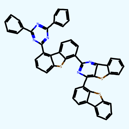 c1ccc(-c2nc(-c3ccccc3)nc(-c3cccc4sc5c(-c6nc(-c7cccc8c7sc7ccccc78)c7sc8ccccc8c7n6)cccc5c34)n2)cc1